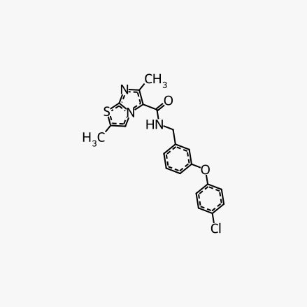 Cc1cn2c(C(=O)NCc3cccc(Oc4ccc(Cl)cc4)c3)c(C)nc2s1